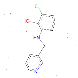 Oc1c(Cl)cccc1NCc1cccnc1